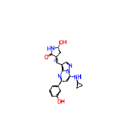 O=C1NC(O)C/C1=C\c1cnn2c(NC3CC3)cc(-c3cccc(O)c3)nc12